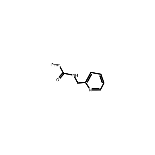 CCCC(C)C(=O)NCc1ccccn1